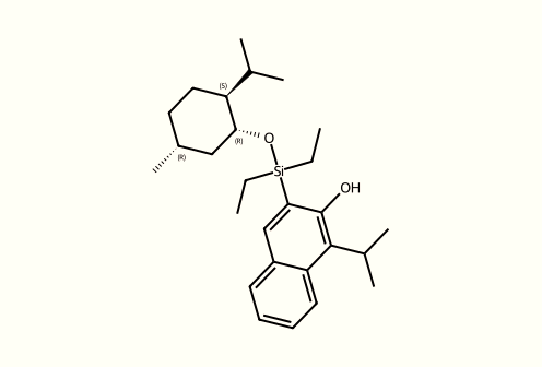 CC[Si](CC)(O[C@@H]1C[C@H](C)CC[C@H]1C(C)C)c1cc2ccccc2c(C(C)C)c1O